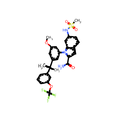 COc1cc(-n2c(C(N)=O)cc3ccc(NS(C)(=O)=O)cc32)cc(C(C)(C)c2cccc(OC(F)(F)F)c2)c1